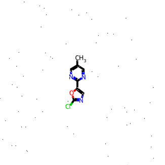 Cc1cnc(-c2cnc(Cl)o2)nc1